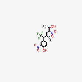 C/C(O)=C(\C=C(/C)C(c1ccc(O)c([N+](=O)[O-])c1)C(F)(F)F)[N+](=O)[O-]